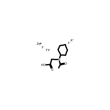 CC(=O)N(CC(=O)O)C1CCCCC1.[F-].[F-].[F-].[F-].[F-].[K+].[Zr+4]